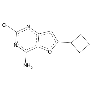 Nc1nc(Cl)nc2cc(C3CCC3)oc12